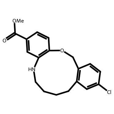 COC(=O)c1ccc2c(c1)NCCCCc1cc(Cl)ccc1CO2